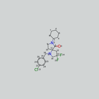 O=C1N(C2CCCCC2)CCC12CC(F)(F)CN2Cc1ccc(Cl)cc1